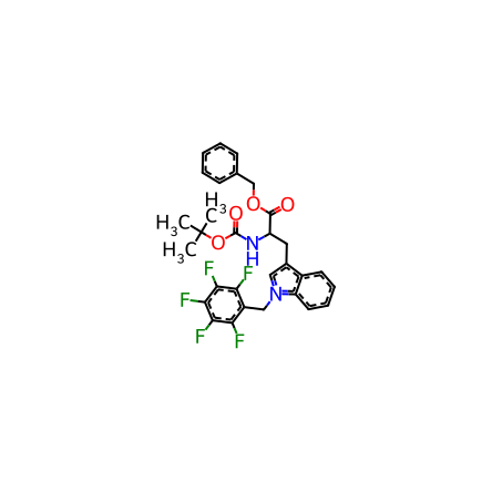 CC(C)(C)OC(=O)NC(Cc1cn(Cc2c(F)c(F)c(F)c(F)c2F)c2ccccc12)C(=O)OCc1ccccc1